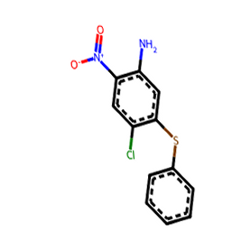 Nc1cc(Sc2ccccc2)c(Cl)cc1[N+](=O)[O-]